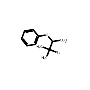 CCC(C)(C)C(Oc1ccccc1)C(=O)O